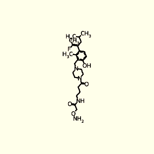 C/C(F)=C(\CC(C)C)c1ccc(O)c(CN2CCN(C(=O)CCCNC(=O)CON)CC2)c1C